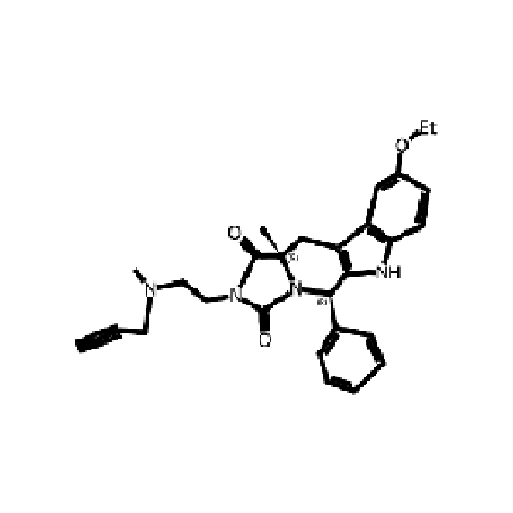 C#CCN(C)CCN1C(=O)N2[C@H](c3ccccc3)c3[nH]c4ccc(OCC)cc4c3C[C@@]2(C)C1=O